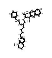 O=C(O)[C@H](CCN(CCCCc1ccc2c(n1)NCCC2)CCOc1ccccn1)Nc1cnc2ccccc2n1